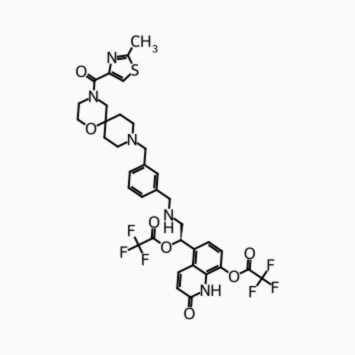 Cc1nc(C(=O)N2CCOC3(CCN(Cc4cccc(CNC[C@H](OC(=O)C(F)(F)F)c5ccc(OC(=O)C(F)(F)F)c6[nH]c(=O)ccc56)c4)CC3)C2)cs1